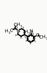 COc1cccc(C2CCN(C(C)C)CC2)c1N